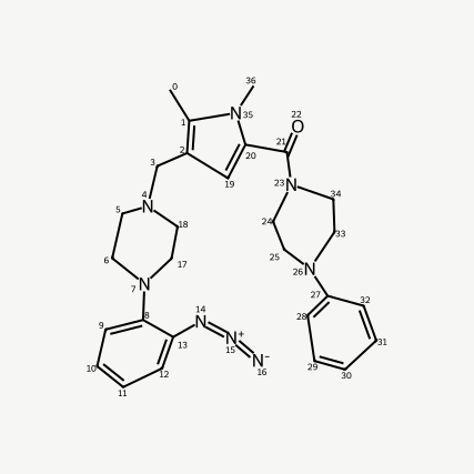 Cc1c(CN2CCN(c3ccccc3N=[N+]=[N-])CC2)cc(C(=O)N2CCN(c3ccccc3)CC2)n1C